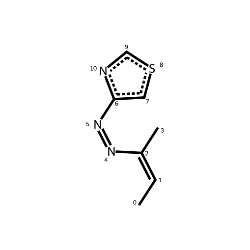 C/C=C(C)\N=N/c1cscn1